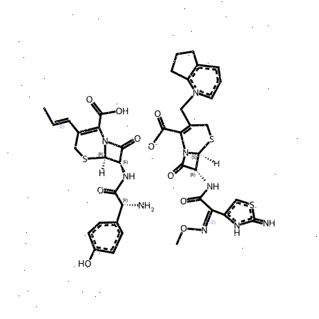 C/C=C/C1=C(C(=O)O)N2C(=O)[C@@H](NC(=O)[C@H](N)c3ccc(O)cc3)[C@H]2SC1.CO/N=C(\C(=O)N[C@@H]1C(=O)N2C(C(=O)[O-])=C(C[n+]3cccc4c3CCC4)CS[C@@H]12)c1csc(=N)[nH]1